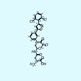 CN(CC(=O)NCCN(C(=O)C(Cl)Cl)c1cccc(-c2cc(-c3c(Cl)cccc3Cl)no2)c1)C(=O)O